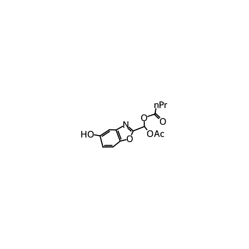 CCCC(=O)OC(OC(C)=O)c1nc2cc(O)ccc2o1